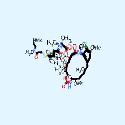 CNCCN(C)C(=O)CSC(C)(C)CCC(=O)N(C)[C@@H](C)C(=O)O[C@H]1CC(=O)N(C)c2cc(cc(OC)c2Cl)C/C(C)=C/C=C/[C@@H](OC)[C@@]2(O)C[C@H](OC(=O)N2)[C@@H](C)[C@@H]2O[C@]12C